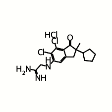 CC1(C2CCCC2)Cc2cc(NCC(=N)N)c(Cl)c(Cl)c2C1=O.Cl